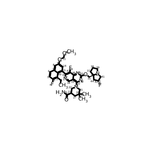 CCc1c(F)ccc2cc(OCOC)cc(-c3ncc4c(N5CC(C(N)=O)CC(C)(C)C5)nc(OC[C@@]56CCCN5C[C@H](F)C6)nc4c3F)c12